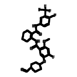 COc1cc(F)c(OC2CCC(C=O)CC2)cc1C(=O)NC1=C(C(=O)Nc2ccc(F)c(C(F)(F)F)c2)CCCC1